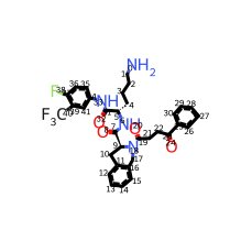 NCCCC[C@H](NC(=O)[C@@H]1Cc2ccccc2CN1C(=O)CCC(=O)c1ccccc1)C(=O)Nc1ccc(F)c(C(F)(F)F)c1